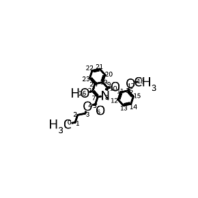 CCCCOC(=O)c1nc(Oc2ccccc2OC)c2ccccc2c1O